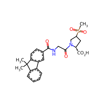 CC1(C)c2ccccc2-c2cc(C(=O)NCC(=O)N3CC(S(C)(=O)=O)C[C@H]3C(=O)O)ccc21